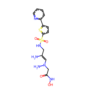 N/C(=C\N(N)CC(=O)NO)CNS(=O)(=O)c1ccc(-c2ccccn2)s1